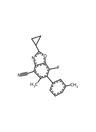 Cc1cccc(-c2c(C)c(C#N)c3nc(C4CC4)oc3c2F)c1